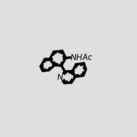 CC(=O)Nc1ccc2ccccc2c1-c1nccc2ccccc12